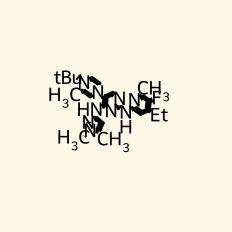 CCc1cc(Nc2ncc(N3CCN(C(C)(C)C)C(C)C3)c(Nc3cc(C)n(C)n3)n2)nc(C)c1F